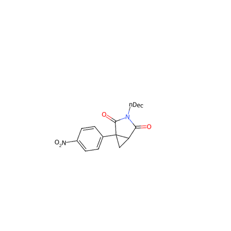 CCCCCCCCCCN1C(=O)C2CC2(c2ccc([N+](=O)[O-])cc2)C1=O